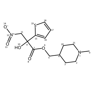 CN1CCC(COC(=O)C(O)(C[N+](=O)[O-])c2cccs2)CC1